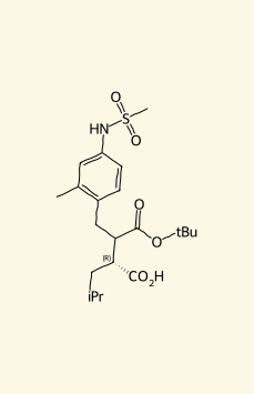 Cc1cc(NS(C)(=O)=O)ccc1CC(C(=O)OC(C)(C)C)[C@@H](CC(C)C)C(=O)O